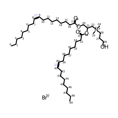 CCCCCCCC/C=C\CCCCCCCC(=O)OCC(C[N+](C)(C)CCCO)OC(=O)CCCCCCC/C=C\CCCCCCCC.[Br-]